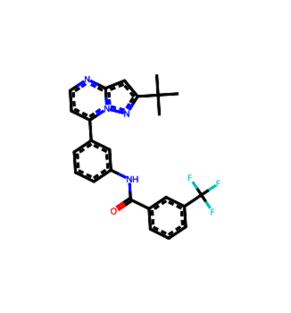 CC(C)(C)c1cc2nccc(-c3cccc(NC(=O)c4cccc(C(F)(F)F)c4)c3)n2n1